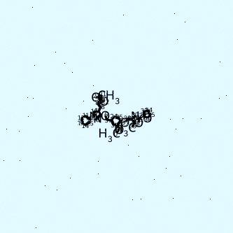 COc1cc(COc2nn(-c3ccccc3)cc2C=CS(C)(=O)=O)ccc1OCc1nc(-c2ccco2)oc1C